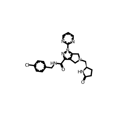 O=C1CC[C@H](CN2Cc3c(C(=O)NCc4ccc(Cl)cc4)nn(-c4ncccn4)c3C2)N1